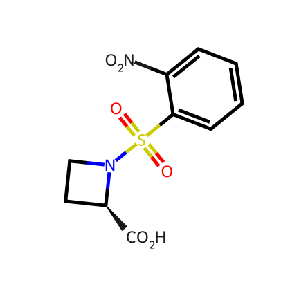 O=C(O)[C@H]1CCN1S(=O)(=O)c1ccccc1[N+](=O)[O-]